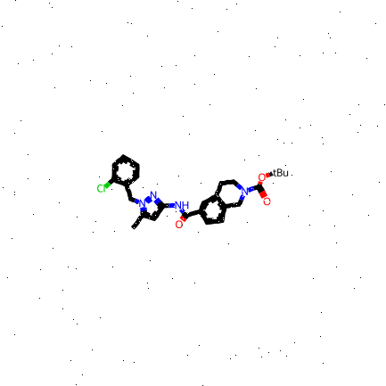 Cc1cc(NC(=O)c2ccc3c(c2)CCN(C(=O)OC(C)(C)C)C3)nn1Cc1ccccc1Cl